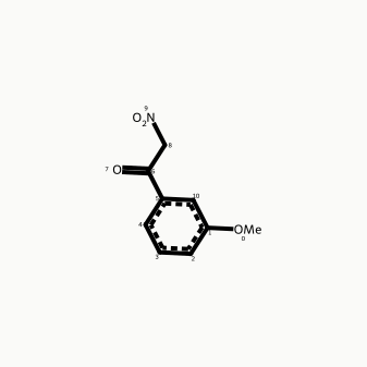 COc1cccc(C(=O)C[N+](=O)[O-])c1